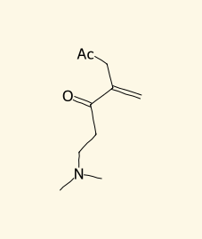 C=C(CC(C)=O)C(=O)CCN(C)C